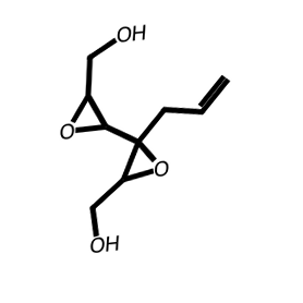 C=CCC1(C2OC2CO)OC1CO